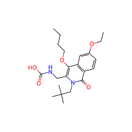 CCCCOc1c(CNC(=O)O)n(CC(C)(C)C)c(=O)c2ccc(OCC)cc12